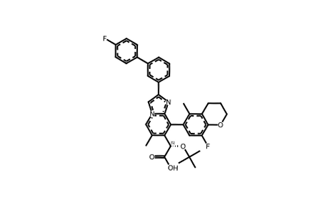 Cc1cn2cc(-c3cccc(-c4ccc(F)cc4)c3)nc2c(-c2cc(F)c3c(c2C)CCCO3)c1[C@H](OC(C)(C)C)C(=O)O